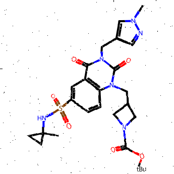 Cn1cc(Cn2c(=O)c3cc(S(=O)(=O)NC4(C)CC4)ccc3n(CC3CN(C(=O)OC(C)(C)C)C3)c2=O)cn1